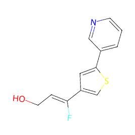 OCC=C(F)c1csc(-c2cccnc2)c1